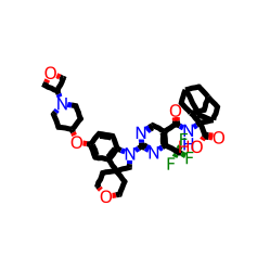 O=C(NC1(C(=O)O)C2CC3CC(C2)CC1C3)c1cnc(N2CC3(CCOCC3)c3cc(OC4CCN(C5COC5)CC4)ccc32)nc1C(F)(F)F